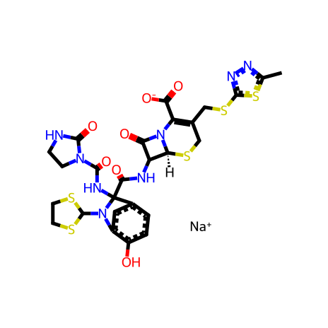 Cc1nnc(SCC2=C(C(=O)[O-])N3C(=O)C(NC(=O)C4(NC(=O)N5CCNC5=O)c5ccc(O)c(c5)N4C4SCCS4)[C@@H]3SC2)s1.[Na+]